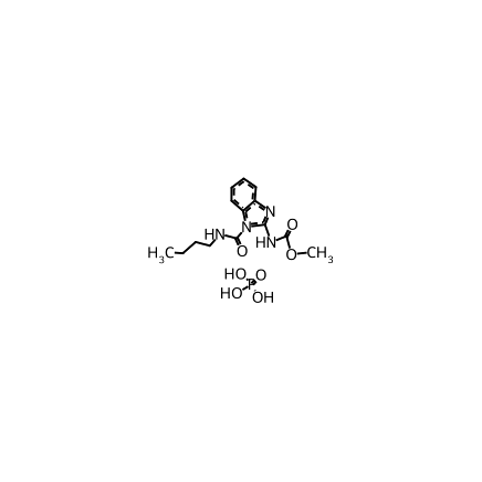 CCCCNC(=O)n1c(NC(=O)OC)nc2ccccc21.O=P(O)(O)O